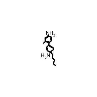 CCCCCC1(N)C=CC(c2ccc(N)cc2C)=CC1